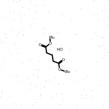 CC(C)(C)OC(=O)CCCC(=O)OC(C)(C)C.Cl